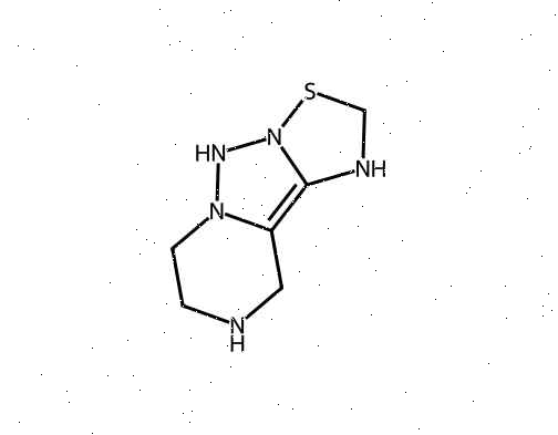 C1CN2NN3SCNC3=C2CN1